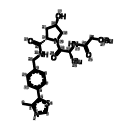 Cc1ncsc1-c1ccc(CNC(=O)[C@@H]2C[C@@H](O)CN2C(=O)[C@@H](NC(=O)COCC(C)C)C(C)(C)C)cc1